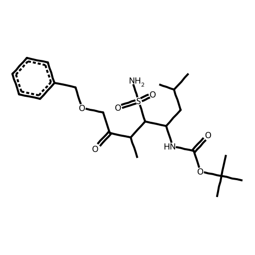 CC(C)CC(NC(=O)OC(C)(C)C)C(C(C)C(=O)COCc1ccccc1)S(N)(=O)=O